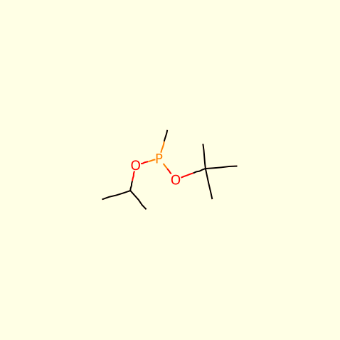 CC(C)OP(C)OC(C)(C)C